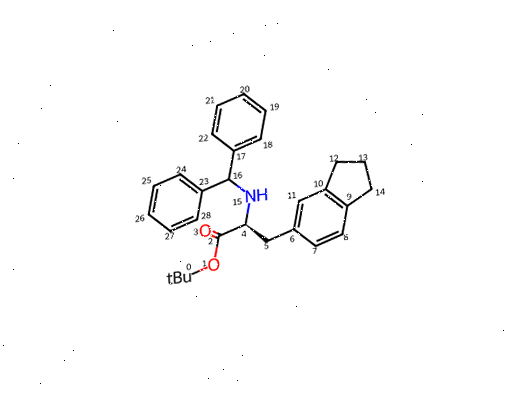 CC(C)(C)OC(=O)[C@H](Cc1ccc2c(c1)CCC2)NC(c1ccccc1)c1ccccc1